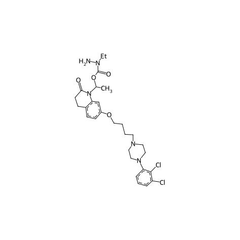 CCN(N)C(=O)OC(C)N1C(=O)CCc2ccc(OCCCCN3CCN(c4cccc(Cl)c4Cl)CC3)cc21